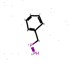 P=PCc1ccccc1